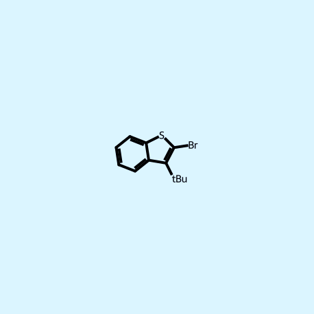 CC(C)(C)c1c(Br)sc2ccccc12